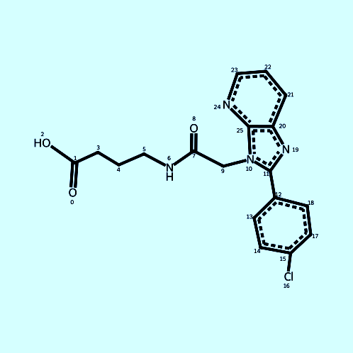 O=C(O)CCCNC(=O)Cn1c(-c2ccc(Cl)cc2)nc2cccnc21